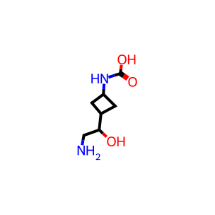 NCC(O)C1CC(NC(=O)O)C1